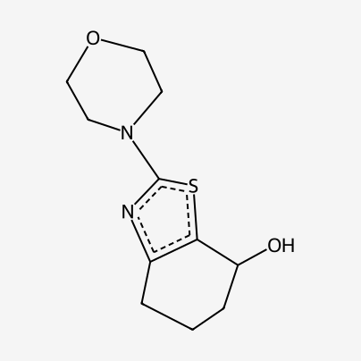 OC1CCCc2nc(N3CCOCC3)sc21